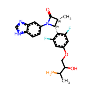 CC(P)C(O)COc1cc(F)c([C@H]2[C@@H](C)C(=O)N2c2ccc3[nH]cnc3c2)c(F)c1